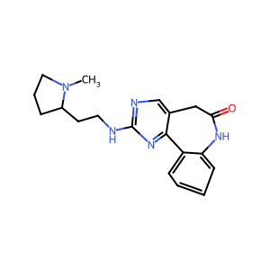 CN1CCCC1CCNc1ncc2c(n1)-c1ccccc1NC(=O)C2